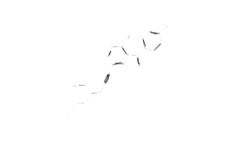 CCCN(CC#Cc1cnc(N)c2c(-c3ccc(N)cc3)csc12)CCC